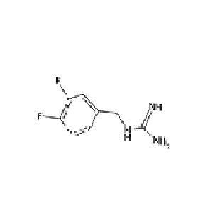 N=C(N)NCc1ccc(F)c(F)c1